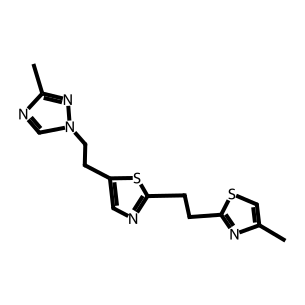 Cc1csc(CCc2ncc(CCn3cnc(C)n3)s2)n1